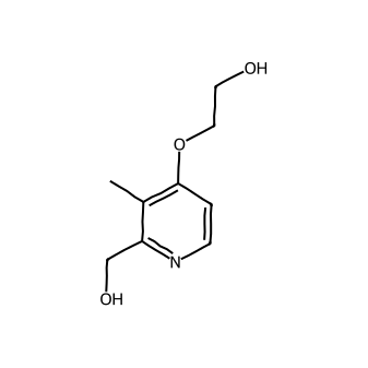 Cc1c(OCCO)ccnc1CO